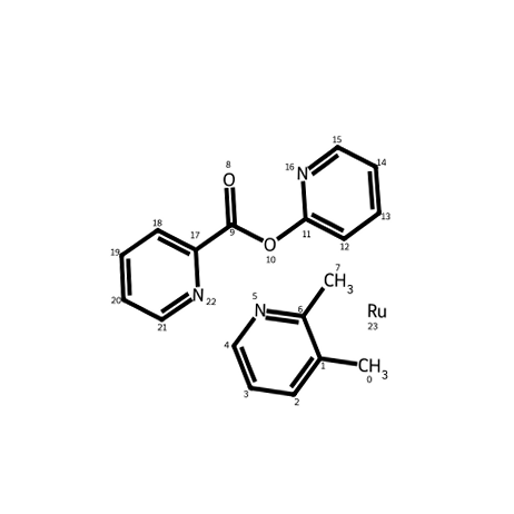 Cc1cccnc1C.O=C(Oc1ccccn1)c1ccccn1.[Ru]